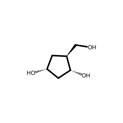 OC[C@@H]1C[C@@H](O)C[C@H]1O